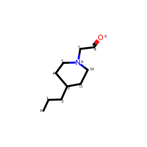 CCCC1CCN(CC=O)CC1